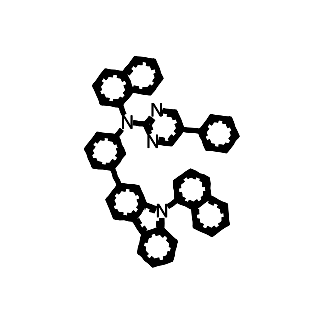 c1ccc(-c2cnc(N(c3cccc(-c4ccc5c6ccccc6n(-c6cccc7ccccc67)c5c4)c3)c3cccc4ccccc34)nc2)cc1